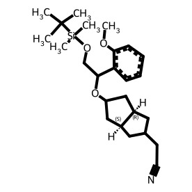 COc1ccccc1C(CO[Si](C)(C)C(C)(C)C)OC1C[C@H]2CC(CC#N)C[C@H]2C1